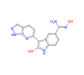 N/C(=N\O)c1ccc2[nH]c(O)c(-c3ccc4cn[nH]c4n3)c2c1